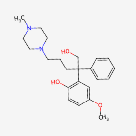 COc1ccc(O)c(C(CO)(CCCN2CCN(C)CC2)c2ccccc2)c1